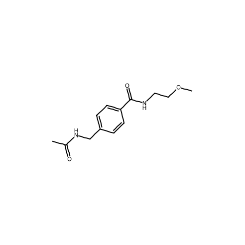 COCCNC(=O)c1ccc(CNC(C)=O)cc1